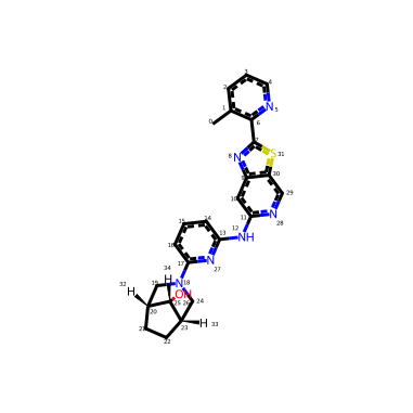 Cc1cccnc1-c1nc2cc(Nc3cccc(N4C[C@H]5CC[C@@H](C4)[C@H]5O)n3)ncc2s1